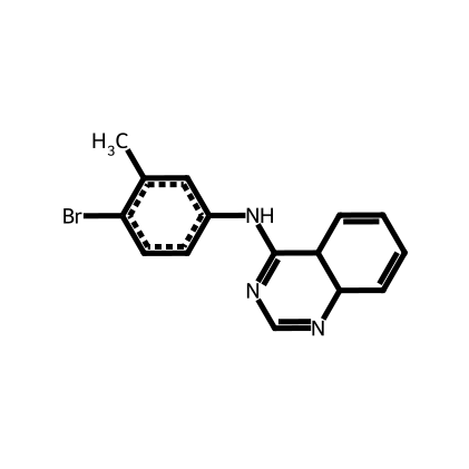 Cc1cc(NC2=NC=NC3C=CC=CC23)ccc1Br